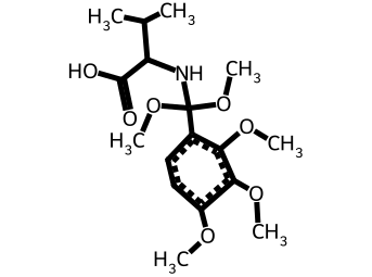 COc1ccc(C(NC(C(=O)O)C(C)C)(OC)OC)c(OC)c1OC